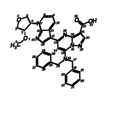 CO[C@@H]1COC[C@H]1n1cccc2c(-c3cc(N(Cc4ccccc4)Cc4ccccc4)n4ncc(C(=O)O)c4n3)cnc1-2